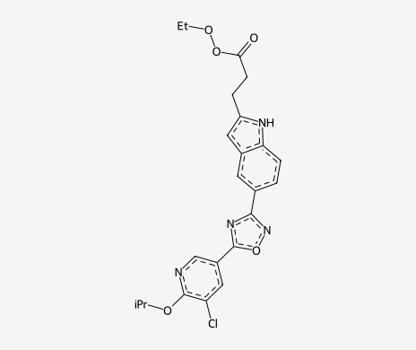 CCOOC(=O)CCc1cc2cc(-c3noc(-c4cnc(OC(C)C)c(Cl)c4)n3)ccc2[nH]1